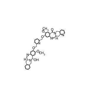 COc1cc2c(cc1OCc1cccc(COc3cc4c(cc3OC)C(O)N3Cc5ccccc5C[C@H]3C=N4)n1)N=C[C@H]1Cc3ncccc3CN1C2=O